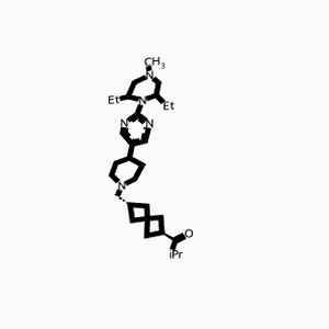 CCC1CN(C)CC(CC)N1c1ncc(C2CCN(C[C@H]3CC4(C3)C[C@H](C(=O)C(C)C)C4)CC2)cn1